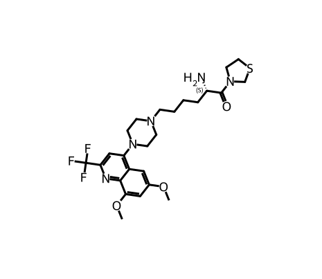 COc1cc(OC)c2nc(C(F)(F)F)cc(N3CCN(CCCC[C@H](N)C(=O)N4CCSC4)CC3)c2c1